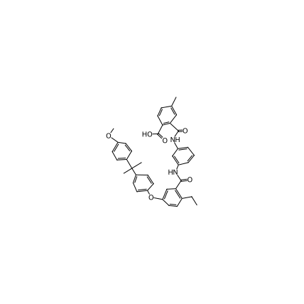 CCc1ccc(Oc2ccc(C(C)(C)c3ccc(OC)cc3)cc2)cc1C(=O)Nc1cccc(NC(=O)c2cc(C)ccc2C(=O)O)c1